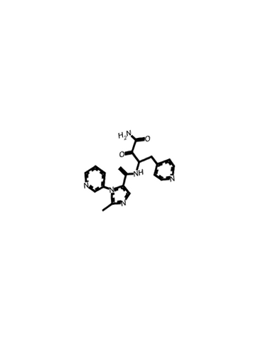 C=C(NC(Cc1ccncc1)C(=O)C(N)=O)c1cnc(C)n1-c1cccnc1